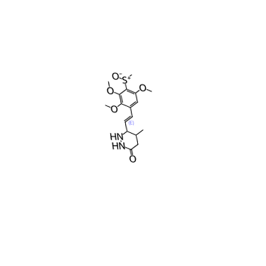 COc1cc(/C=C/C2NNC(=O)CC2C)c(OC)c(OC)c1[S+](C)[O-]